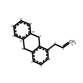 C=C[CH]c1cccc2c1Cc1ccccc1C2